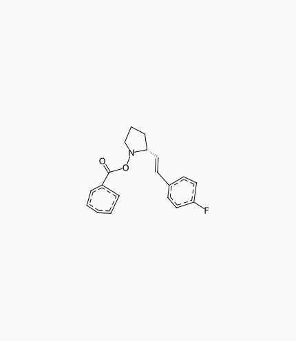 O=C(ON1CCC[C@@H]1/C=C/c1ccc(F)cc1)c1ccccc1